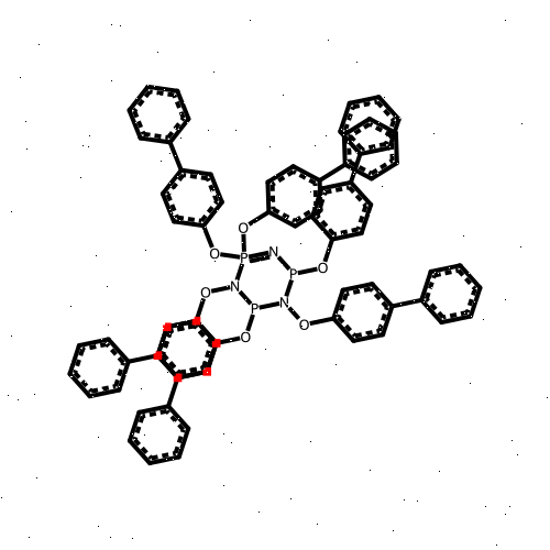 c1ccc(-c2ccc(ON3P(Oc4ccc(-c5ccccc5)cc4)N=P(Oc4ccc(-c5ccccc5)cc4)(Oc4ccc(-c5ccccc5)cc4)N(Oc4ccc(-c5ccccc5)cc4)P3Oc3ccc(-c4ccccc4)cc3)cc2)cc1